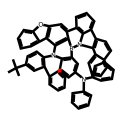 CC(C)(C)c1ccc(N2c3ccc(N(c4ccccc4)c4ccccc4)cc3B3c4c(cc5oc6ccccc6c5c42)-c2cccc4c5ccc6ccccc6c5n3c24)c(-c2ccccc2)c1